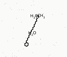 CN(C)CCCCCCCCCCCCCCCCCCC1CCCCC1.O